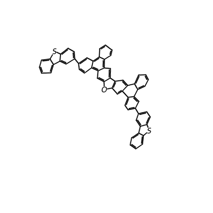 c1ccc2c(c1)sc1ccc(-c3ccc4c(c3)c3ccccc3c3cc5c(cc43)oc3cc4c6ccc(-c7ccc8sc9ccccc9c8c7)cc6c6ccccc6c4cc35)cc12